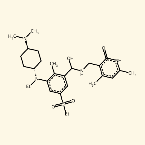 CCN(c1cc(S(=O)(=O)CC)cc(C(O)NCc2c(C)cc(C)[nH]c2=O)c1C)[C@H]1CC[C@H](N(C)C)CC1